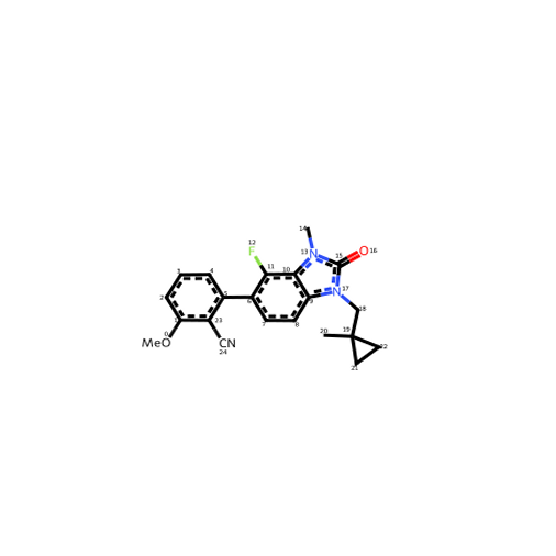 COc1cccc(-c2ccc3c(c2F)n(C)c(=O)n3CC2(C)CC2)c1C#N